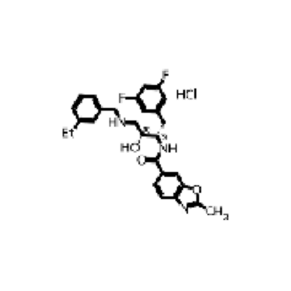 CCc1cccc(CNC[C@@H](O)[C@H](Cc2cc(F)cc(F)c2)NC(=O)c2ccc3nc(C)oc3c2)c1.Cl